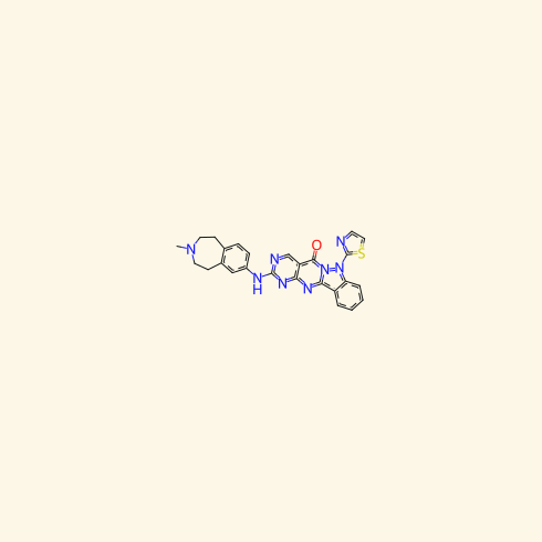 CN1CCc2ccc(Nc3ncc4c(=O)n5c(nc4n3)c3ccccc3n5-c3nccs3)cc2CC1